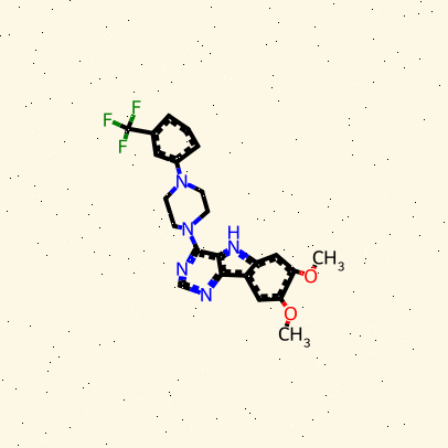 COc1cc2[nH]c3c(N4CCN(c5cccc(C(F)(F)F)c5)CC4)ncnc3c2cc1OC